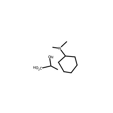 CC(O)C(=O)O.CN(C)C1CCCCC1